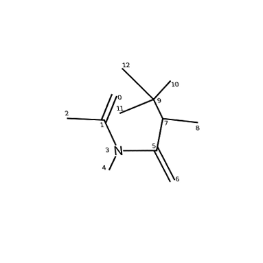 C=C(C)N(C)C(=C)C(C)C(C)(C)C